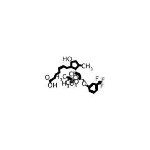 CC1CC(O)C(C/C=C\CCCC(=O)O)[C@H]1/C=C/[C@H](COc1cccc(C(F)(F)F)c1)O[Si](C)(C)C(C)(C)C